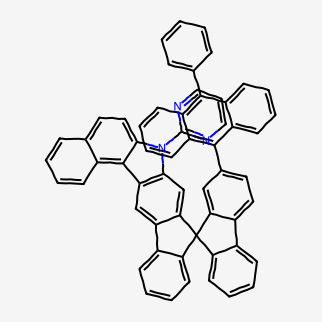 c1ccc(-c2c3ccccc3c(-c3ccc4c(c3)C3(c5ccccc5-4)c4ccccc4-c4cc5c6c7ccccc7ccc6n(-c6ncccn6)c5cc43)c3ccccc23)cc1